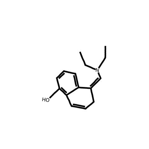 CCN(/C=C1/CC=Cc2c(O)cccc21)CC